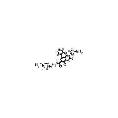 CN1CCN(CCCNC(=O)c2cn3c4c(c(N5CCC(N)C5)c(F)cc4c2=O)Oc2ccccc2-3)CC1